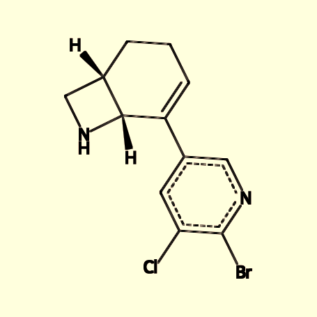 Clc1cc(C2=CCC[C@H]3CN[C@@H]23)cnc1Br